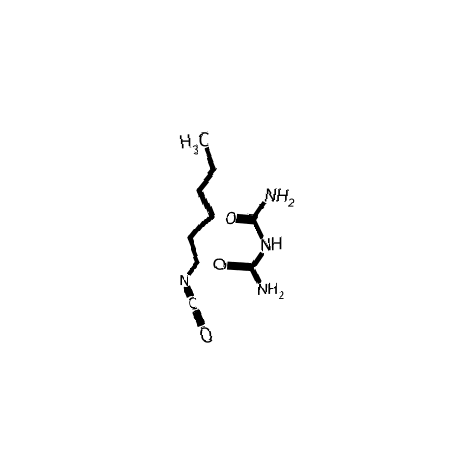 CCCCCCN=C=O.NC(=O)NC(N)=O